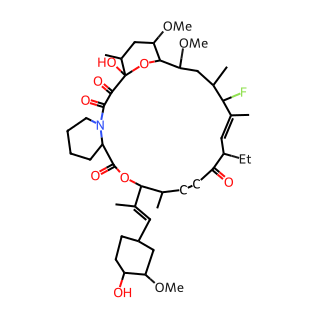 CCC1/C=C(\C)C(F)C(C)CC(OC)C2OC(O)(C(=O)C(=O)N3CCCCC3C(=O)OC(C(C)=CC3CCC(O)C(OC)C3)C(C)CCC1=O)C(C)CC2OC